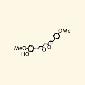 COc1ccc(/C=C/C(=O)CC(=O)/C=C/c2ccc(OC)c(O)c2)cc1